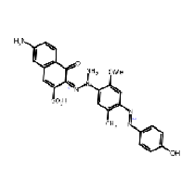 COc1cc(/N=N/c2ccc(O)cc2)c(C)cc1N(N)/N=C1\C(=O)c2ccc(N)cc2C=C1S(=O)(=O)O